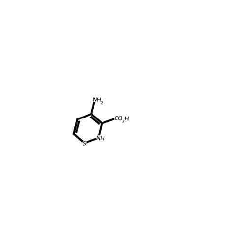 NC1=C(C(=O)O)NSC=C1